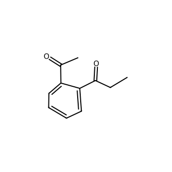 CCC(=O)c1ccccc1C(C)=O